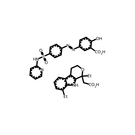 CCc1cccc2c3c([nH]c12)C(CC)(CC(=O)O)OCC3.O=C(O)c1cc(N=Nc2ccc(S(=O)(=O)Nc3ccccn3)cc2)ccc1O